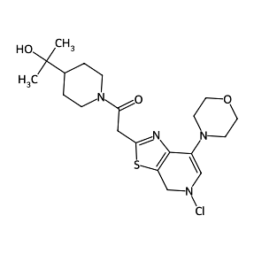 CC(C)(O)C1CCN(C(=O)Cc2nc3c(s2)CN(Cl)C=C3N2CCOCC2)CC1